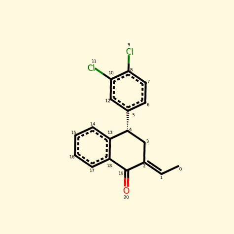 C/C=C1\C[C@@H](c2ccc(Cl)c(Cl)c2)c2ccccc2C1=O